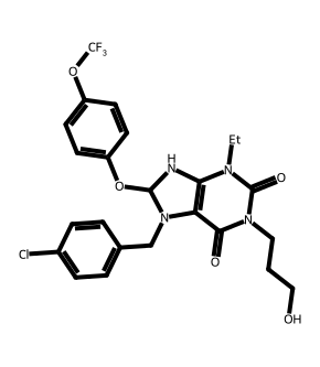 CCn1c2c(c(=O)n(CCCO)c1=O)N(Cc1ccc(Cl)cc1)C(Oc1ccc(OC(F)(F)F)cc1)N2